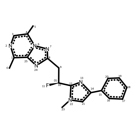 Cc1ncc(C)n2nc(C[C@H](F)c3nc(-c4ccccc4)cn3C)nc12